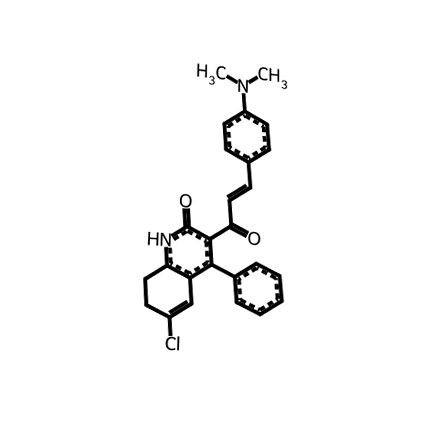 CN(C)c1ccc(C=CC(=O)c2c(-c3ccccc3)c3c([nH]c2=O)CCC(Cl)=C3)cc1